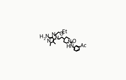 CCOCc1nc2c(N)nc(C)c(C)c2n1CCC1CCN(C(=O)Nc2cccc(C(C)=O)c2)CC1